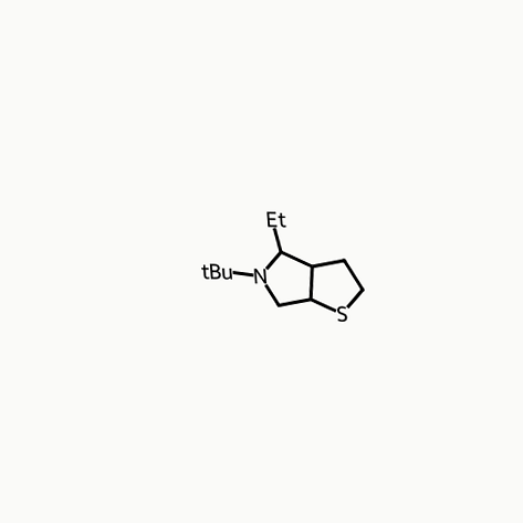 CCC1C2CCSC2CN1C(C)(C)C